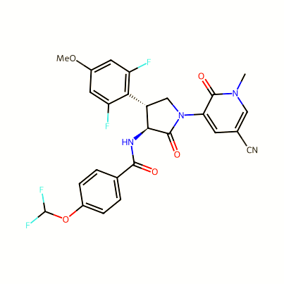 COc1cc(F)c([C@@H]2CN(c3cc(C#N)cn(C)c3=O)C(=O)[C@H]2NC(=O)c2ccc(OC(F)F)cc2)c(F)c1